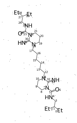 CCC(CC)CNC(=O)N1CCCN(CCCCCCN2CCCN(C(=O)NCC(CC)CC)C2=N)C1=N